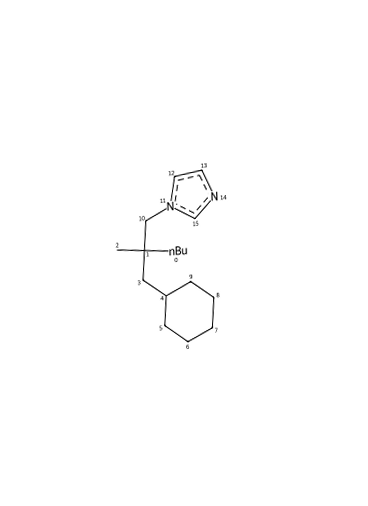 CCCCC(C)(CC1CCCCC1)Cn1ccnc1